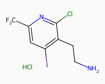 Cl.NCCc1c(I)cc(C(F)(F)F)nc1Cl